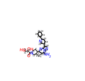 N#Cc1c(C2CCN(C(=O)[C@H](O)CO)CC2)nc2c(-c3ccc(-c4ccccc4)nc3)cnn2c1N